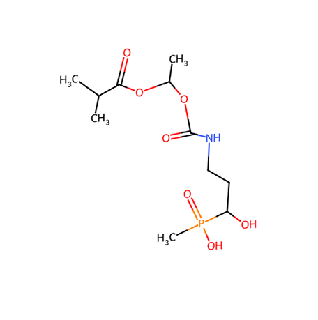 CC(OC(=O)NCCC(O)P(C)(=O)O)OC(=O)C(C)C